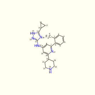 FC(F)(F)c1ccccc1-c1cc(Nc2n[nH]c(C3CC3)n2)cc(C2CCNCC2)n1